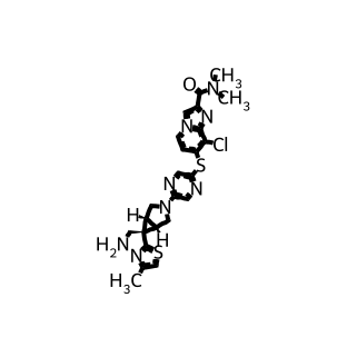 Cc1csc([C@]2(CN)[C@@H]3CN(c4cnc(Sc5ccn6cc(C(=O)N(C)C)nc6c5Cl)cn4)C[C@@H]32)n1